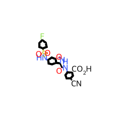 N#Cc1ccc(NC(=O)c2noc3cc(NS(=O)(=O)c4ccc(F)cc4)ccc23)c(C(=O)O)c1